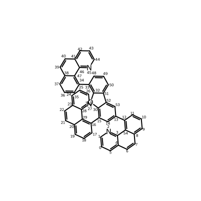 c1cnc2c(c1)ccc1cccc(-c3cc(-c4cccc5ccc6cccnc6c45)c4oc5c(-c6cccc7ccc8cccnc8c67)cccc5c4c3)c12